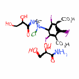 CC(=O)N(Cl)c1c(I)c(C(=O)O)c(I)c(C(=O)O)c1I.NC(=O)C(O)CO.NC(=O)C(O)CO